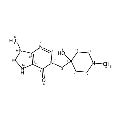 CN1CCC(O)(Cn2cnc3c(c2=O)NCN3C)CC1